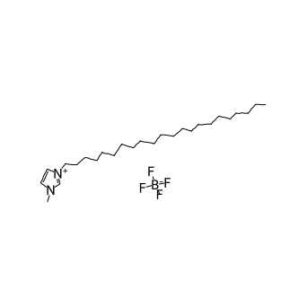 CCCCCCCCCCCCCCCCCCCCCC[n+]1ccn(C)c1.F[B-](F)(F)F